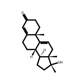 C[C@]12CCC(=O)C=C1CC[C@@H]1C2=CC[C@@]2(C)[C@H]1CC[C@@]2(C)O